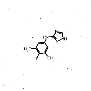 Cc1cc(Nc2nc[nH]n2)cc(C)c1I